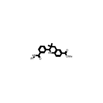 COC(=O)c1ccc2c(c1)CC(C)(C)C(c1cccc(C(=O)NC(C)C)c1)N2